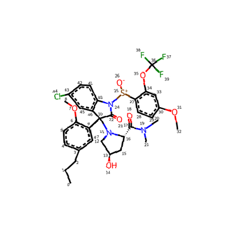 CCCc1ccc(OC)c(C2(N3C[C@H](O)C[C@H]3C(=O)N(C)C)C(=O)N([S+]([O-])c3ccc(OC)cc3OC(F)(F)F)c3ccc(Cl)cc32)c1